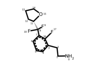 NCCc1cccc(C(F)(F)[C@@H]2CCCO2)c1F